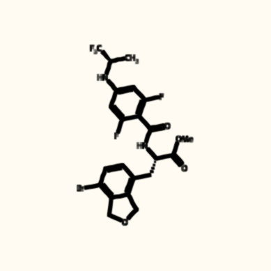 COC(=O)[C@H](Cc1ccc(Br)c2c1COC2)NC(=O)c1c(F)cc(N[C@H](C)C(F)(F)F)cc1F